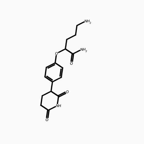 NCCCC(Oc1ccc(C2CCC(=O)NC2=O)cc1)C(N)=O